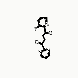 O=C(CCC(=O)c1ncccc1F)c1ncccn1